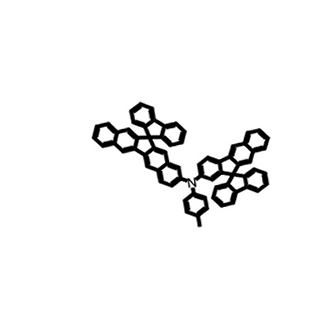 Cc1ccc(N(c2ccc3c(c2)C2(c4ccccc4-c4ccccc42)c2cc4ccccc4cc2-3)c2ccc3cc4c(cc3c2)C2(c3ccccc3-c3ccccc32)c2cc3ccccc3cc2-4)cc1